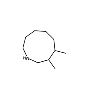 CC1CCCCCNCC1C